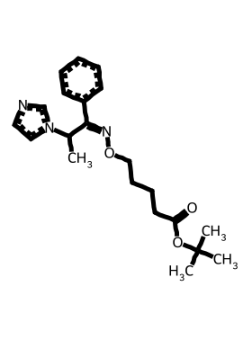 CC(C(=NOCCCCC(=O)OC(C)(C)C)c1ccccc1)n1ccnc1